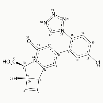 O=C(O)[C@@H]1[C@H]2C=CC2c2cc(-c3cc(Cl)ccc3-n3cnnn3)cc(=O)n21